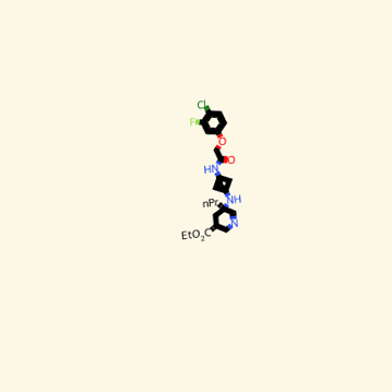 CCCC1(NC23CC(NC(=O)COc4ccc(Cl)c(F)c4)(C2)C3)C=NCC(C(=O)OCC)C1